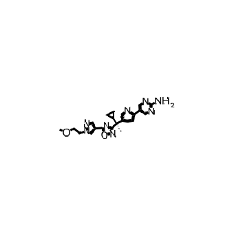 COCCn1cc(-c2nc([C@](C)(c3ccc(-c4cnc(N)nc4)nc3)C3CC3)no2)cn1